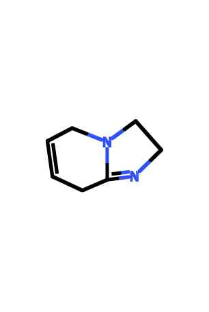 C1=CCN2CCN=C2C1